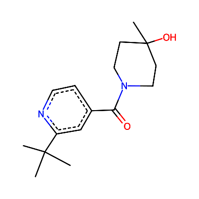 CC1(O)CCN(C(=O)c2ccnc(C(C)(C)C)c2)CC1